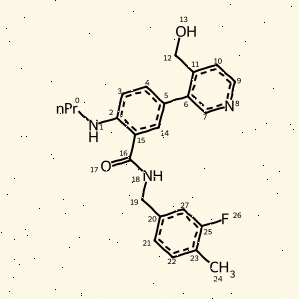 CCCNc1ccc(-c2cnccc2CO)cc1C(=O)NCc1ccc(C)c(F)c1